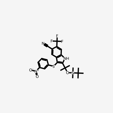 CC(C)(O[Si](C)(C)C(C)(C)C)c1[nH]c2cc(C(F)(F)F)c(C#N)cc2c1Sc1cccc([N+](=O)[O-])c1